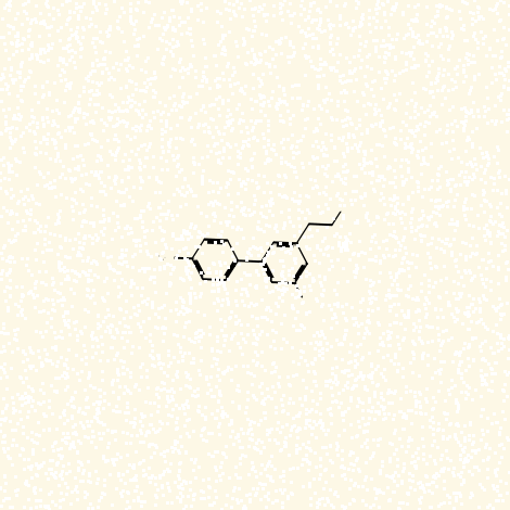 N#Cc1ccc(-c2cc(Cl)cc(CCBr)c2)cc1